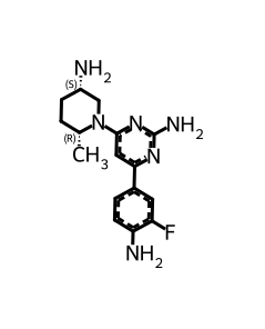 C[C@@H]1CC[C@H](N)CN1c1cc(-c2ccc(N)c(F)c2)nc(N)n1